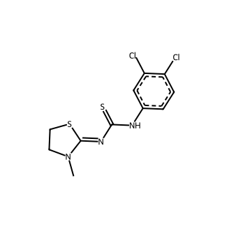 CN1CCS/C1=N\C(=S)Nc1ccc(Cl)c(Cl)c1